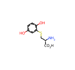 N[C@H](CSc1cc(O)ccc1O)C(=O)O